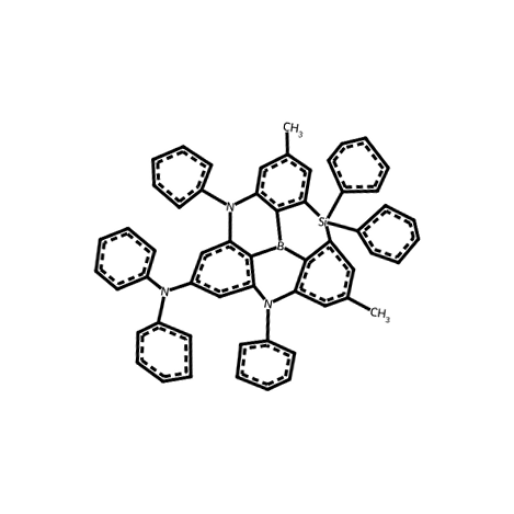 Cc1cc2c3c(c1)[Si](c1ccccc1)(c1ccccc1)c1cc(C)cc4c1B3c1c(cc(N(c3ccccc3)c3ccccc3)cc1N4c1ccccc1)N2c1ccccc1